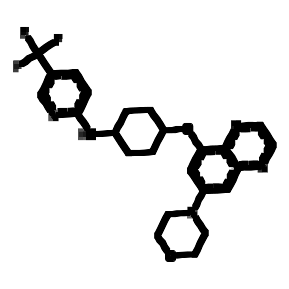 FC(F)(F)c1ccc(NC2CCC(Oc3cc(N4CCOCC4)cc4nccnc34)CC2)nc1